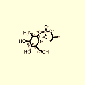 CC(C)OP(=O)(O)OC1OC(CO)[C@H](O)C(O)C1N